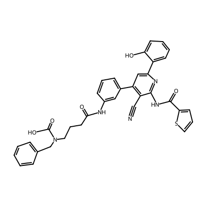 N#Cc1c(-c2cccc(NC(=O)CCCN(Cc3ccccc3)C(=O)O)c2)cc(-c2ccccc2O)nc1NC(=O)c1cccs1